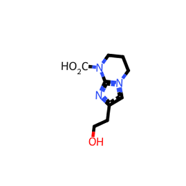 O=C(O)N1CCCn2cc(CCO)nc21